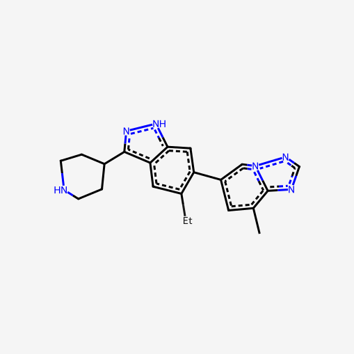 CCc1cc2c(C3CCNCC3)n[nH]c2cc1-c1cc(C)c2ncnn2c1